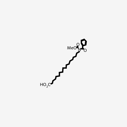 COC(=O)N(CCCCCCCCCCCCCCCCCC(=O)O)C(=O)c1ccccc1